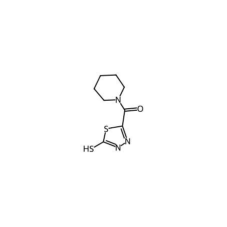 O=C(c1nnc(S)s1)N1CCCCC1